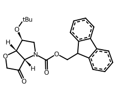 CC(C)(C)O[C@H]1CN(C(=O)OCC2c3ccccc3-c3ccccc32)[C@@H]2C(=O)CO[C@H]12